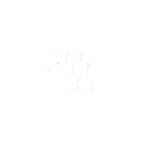 C#Cc1cccc(F)c1Cc1cccc2c1C(=C)CC2